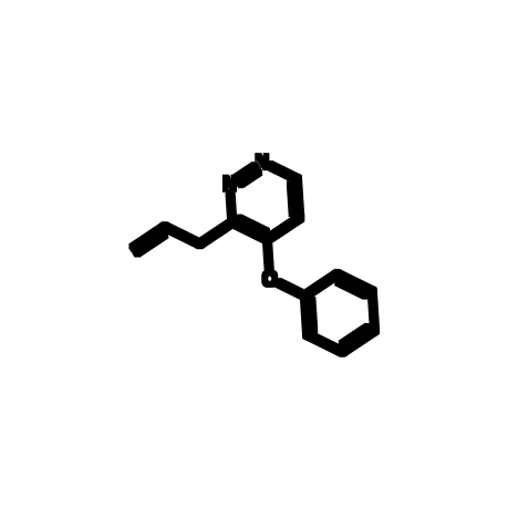 C=CCc1nnccc1Oc1ccccc1